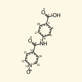 O=C(O)c1ccc(NC(=O)c2cc[n+]([O-])cc2)cc1